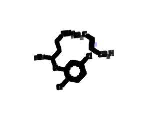 CCCCC(CCNC)Oc1cc(Cl)ccc1Cl.O=C(O)/C=C/C(=O)O